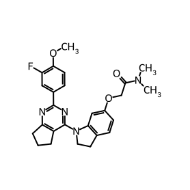 COc1ccc(-c2nc3c(c(N4CCc5ccc(OCC(=O)N(C)C)cc54)n2)CCC3)cc1F